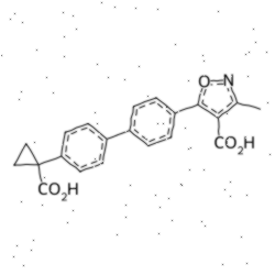 Cc1noc(-c2ccc(-c3ccc(C4(C(=O)O)CC4)cc3)cc2)c1C(=O)O